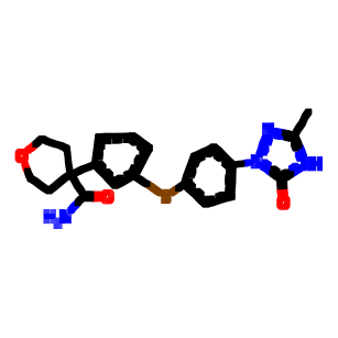 Cc1nn(-c2ccc(Sc3cccc(C4(C(N)=O)CCOCC4)c3)cc2)c(=O)[nH]1